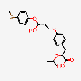 CSc1ccc(OC(O)CCOc2ccc(CC(OC(C)C)C(=O)O)cc2)cc1